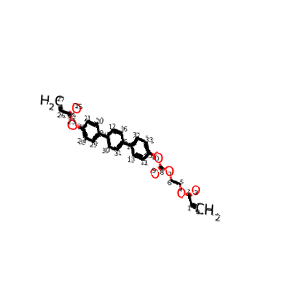 C=CC(=O)OCCOC(=O)Oc1ccc(-c2ccc(-c3ccc(OC(=O)C=C)cc3)cc2)cc1